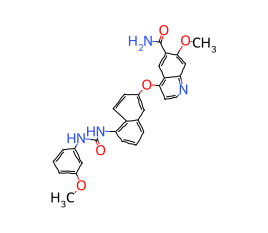 COc1cccc(NC(=O)Nc2cccc3cc(Oc4ccnc5cc(OC)c(C(N)=O)cc45)ccc23)c1